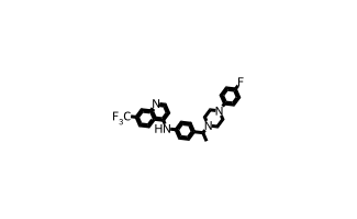 CC(c1ccc(Nc2ccnc3cc(C(F)(F)F)ccc23)cc1)N1CCN(c2ccc(F)cc2)CC1